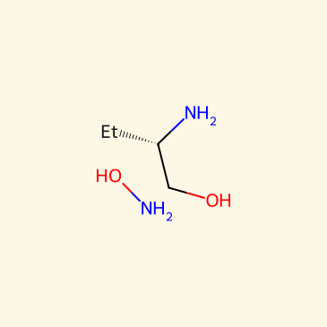 CC[C@H](N)CO.NO